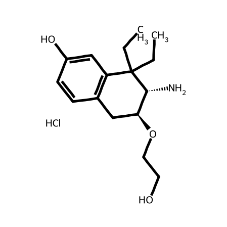 CCC1(CC)c2cc(O)ccc2C[C@H](OCCO)[C@H]1N.Cl